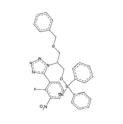 CC(C)(C)[Si](OCC(COCc1ccccc1)n1nnnc1-c1cccc([N+](=O)[O-])c1F)(c1ccccc1)c1ccccc1